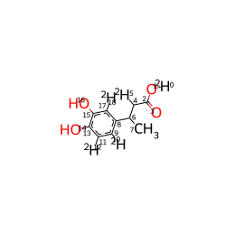 [2H]OC(=O)C([2H])C(C)c1c([2H])c([2H])c(O)c(O)c1[2H]